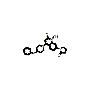 Cn1c(=O)cc(N2CCC(Sc3ccccc3)CC2)c2ccc(N3CCCC3=O)cc21